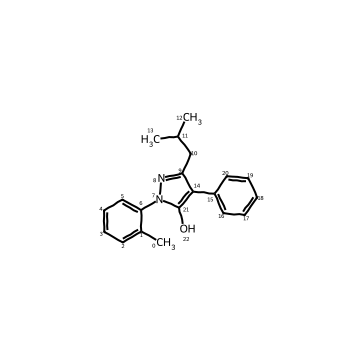 Cc1ccccc1-n1nc(CC(C)C)c(-c2ccccc2)c1O